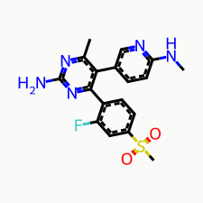 CNc1ccc(-c2c(C)nc(N)nc2-c2ccc(S(C)(=O)=O)cc2F)cn1